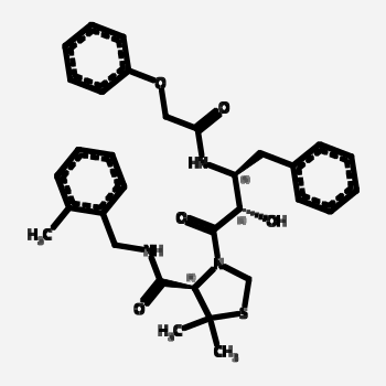 Cc1ccccc1CNC(=O)[C@H]1N(C(=O)[C@@H](O)[C@H](Cc2ccccc2)NC(=O)COc2ccccc2)CSC1(C)C